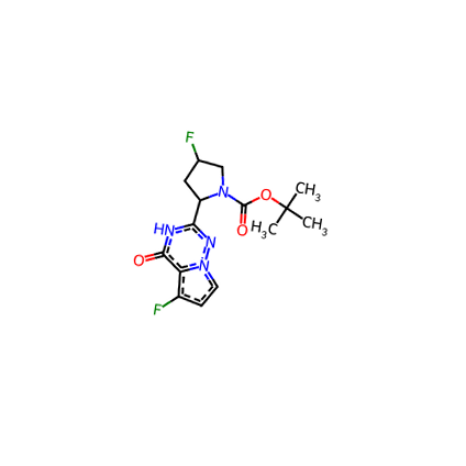 CC(C)(C)OC(=O)N1CC(F)CC1c1nn2ccc(F)c2c(=O)[nH]1